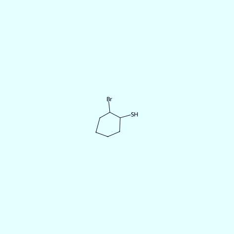 SC1CCCCC1Br